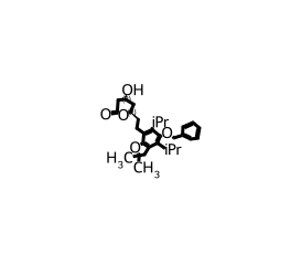 CC(C)c1c(CC[C@@H]2C[C@@H](O)CC(=O)O2)c2c(c(C(C)C)c1OCc1ccccc1)CC(C)(C)O2